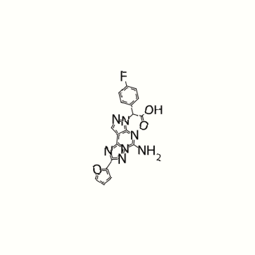 Nc1nc2c(cnn2C(C(=O)O)c2ccc(F)cc2)c2nc(-c3ccco3)nn12